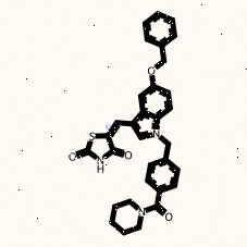 O=C1NC(=O)/C(=C\c2cn(Cc3ccc(C(=O)N4CCCCC4)cc3)c3ccc(OCc4ccccc4)cc23)S1